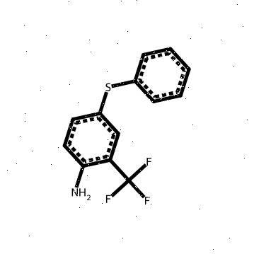 Nc1ccc(Sc2ccccc2)cc1C(F)(F)F